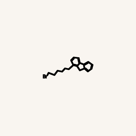 BrCCCCCCc1cccc2c1Cc1ccccc1-2